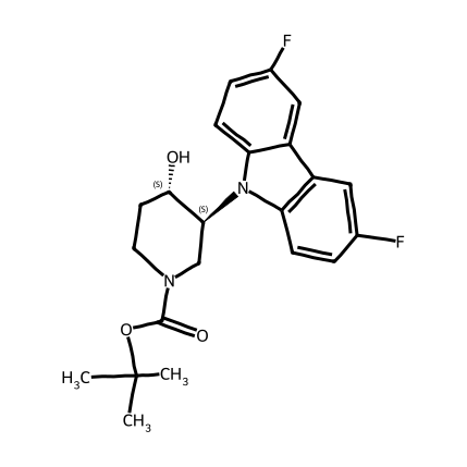 CC(C)(C)OC(=O)N1CC[C@H](O)[C@@H](n2c3ccc(F)cc3c3cc(F)ccc32)C1